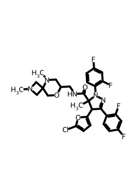 CN1CC2(COC(CNC(=O)C3(C)C(c4ccc(Cl)o4)C(c4ccc(F)cc4F)=NN3c3ccc(F)cc3F)CN2C)C1